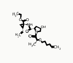 C=CCCCCO[C@H](C)C(=O)N1C[C@@H](O)C[C@H]1C(=O)N[C@]1(C(=O)OCC)C[C@H]1C=C